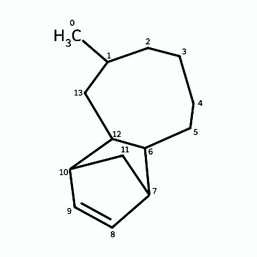 CC1CCCCC2C3C=CC(C3)C2C1